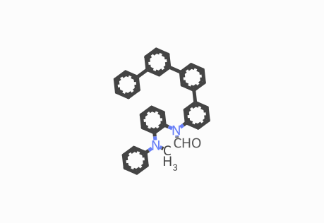 CN(c1ccccc1)c1ccccc1N(C=O)c1cccc(-c2cccc(-c3cccc(-c4ccccc4)c3)c2)c1